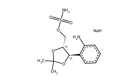 CC1(C)O[C@H](c2ccccc2N)[C@@H](COS(N)(=O)=O)O1.[NaH]